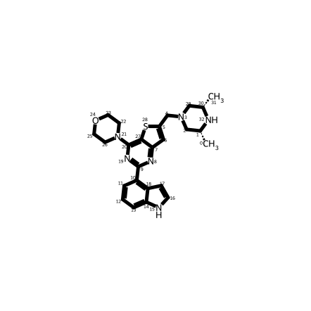 C[C@@H]1CN(Cc2cc3nc(-c4cccc5[nH]ccc45)nc(N4CCOCC4)c3s2)C[C@H](C)N1